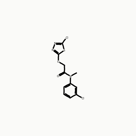 CN(C(=O)COc1nnc(Cl)s1)c1cccc(Cl)c1